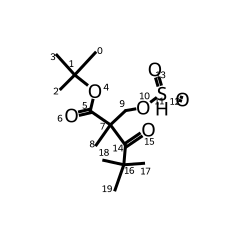 CC(C)(C)OC(=O)C(C)(CO[SH](=O)=O)C(=O)C(C)(C)C